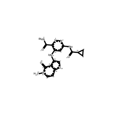 CNC(=O)c1nnc(NC(=O)C2CC2)cc1Nc1csc2ccn(C)c(=O)c12